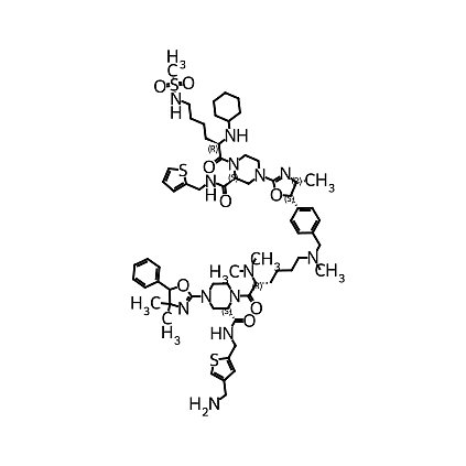 C[C@H]1N=C(N2CCN(C(=O)[C@@H](CCCCNS(C)(=O)=O)NC3CCCCC3)[C@H](C(=O)NCc3cccs3)C2)O[C@H]1c1ccc(CN(C)CCCC[C@H](C(=O)N2CCN(C3=NC(C)(C)C(c4ccccc4)O3)C[C@H]2C(=O)NCc2cc(CN)cs2)N(C)C)cc1